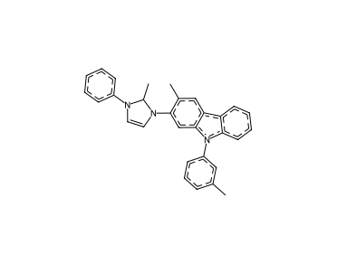 Cc1cccc(-n2c3ccccc3c3cc(C)c(N4C=CN(c5ccccc5)C4C)cc32)c1